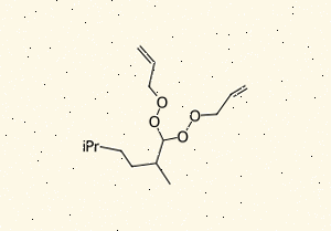 C=CCOOC(OOCC=C)C(C)CCC(C)C